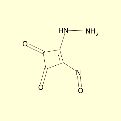 NNc1c(N=O)c(=O)c1=O